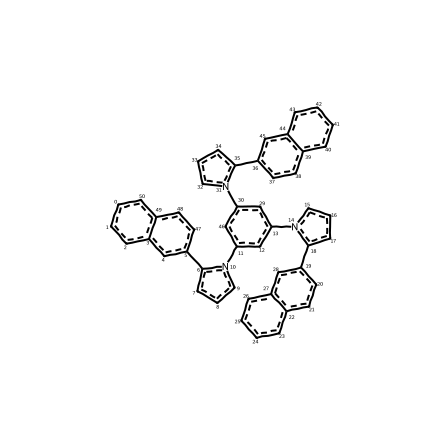 c1ccc2cc(-c3cccn3-c3cc(-n4cccc4-c4ccc5ccccc5c4)cc(-n4cccc4-c4ccc5ccccc5c4)c3)ccc2c1